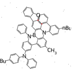 CCCCc1ccc(N(c2ccccc2)c2ccc3c(c2)-c2cc(C)cc4c2B(c2cc5c(cc2N4c2ccc(CCCC)cc2-c2ccccc2)oc2ccccc25)N3c2ccccc2)cc1